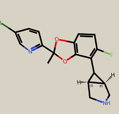 CC1(c2ccc(Cl)cn2)Oc2ccc(F)c(C3[C@H]4CNC[C@@H]34)c2O1